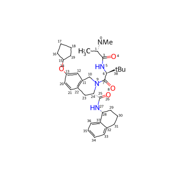 CN[C@@H](C)C(=O)N[C@H](C(=O)N1Cc2cc(OC3CCCC3)ccc2C[C@H]1C(=O)N[C@@H]1CCCc2ccccc21)C(C)(C)C